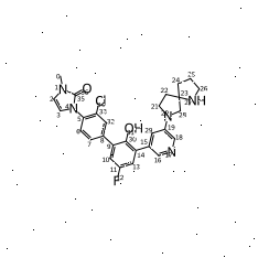 Cn1ccn(-c2ccc(-c3cc(F)cc(-c4cncc(N5CCC6(CCCN6)C5)c4)c3O)cc2Cl)c1=O